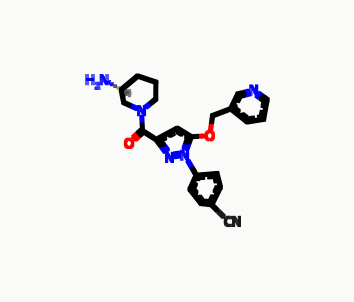 N#Cc1ccc(-n2nc(C(=O)N3CCC[C@@H](N)C3)cc2OCc2cccnc2)cc1